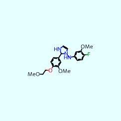 COCCOc1ccc(C2NC=CN2Nc2ccc(F)c(OC)c2)cc1OC